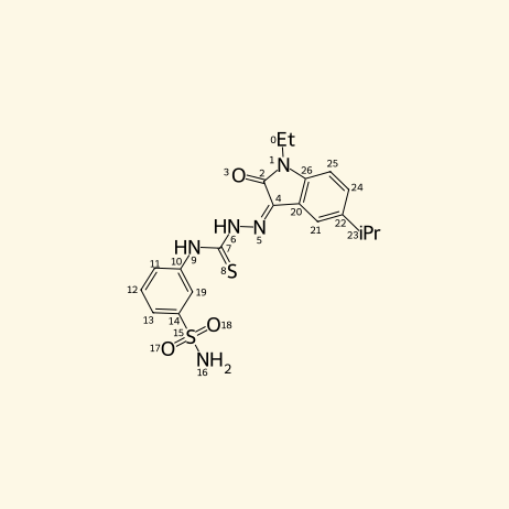 CCN1C(=O)C(=NNC(=S)Nc2cccc(S(N)(=O)=O)c2)c2cc(C(C)C)ccc21